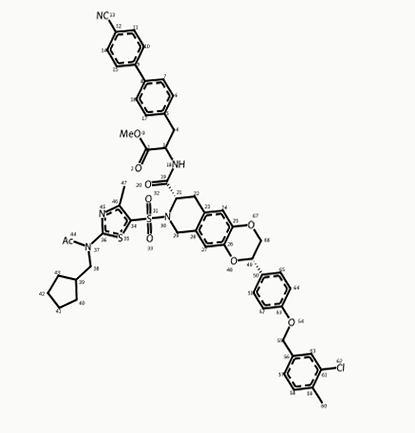 COC(=O)C(Cc1ccc(-c2ccc(C#N)cc2)cc1)NC(=O)[C@@H]1Cc2cc3c(cc2CN1S(=O)(=O)c1sc(N(CC2CCCC2)C(C)=O)nc1C)O[C@@H](c1ccc(OCc2ccc(C)c(Cl)c2)cc1)CO3